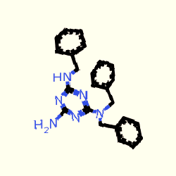 Nc1nc(NCc2ccccc2)nc(N(Cc2ccccc2)Cc2ccccc2)n1